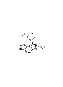 CC(=O)O.N[C@@H]1CCC[C@@H](c2nnc3cnc4[nH]ccc4n23)C1